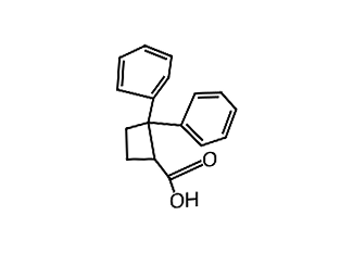 O=C(O)C1CCC1(c1ccccc1)c1ccccc1